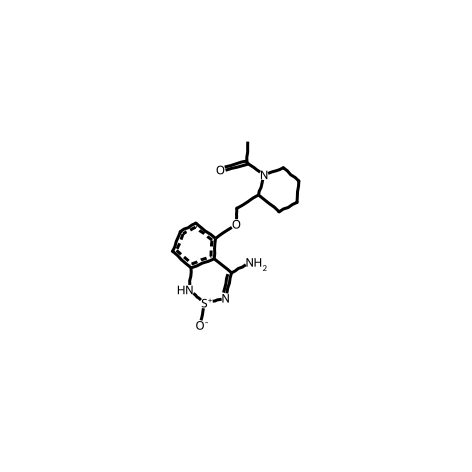 CC(=O)N1CCCCC1COc1cccc2c1C(N)=N[S+]([O-])N2